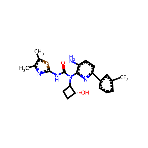 Cc1nc(NC(=O)N(c2nc(-c3cccc(C(F)(F)F)c3)ccc2N)C2CC[C@H]2O)sc1C